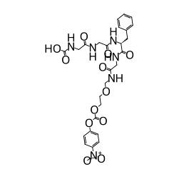 O=C(O)NCC(=O)NCC(=O)N[C@@H](Cc1ccccc1)C(=O)NCC(=O)NCOCCOC(=O)Oc1ccc([N+](=O)[O-])cc1